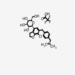 CN(C)Cc1ccc(Cc2cc([C@@H]3O[C@H](CO)[C@@H](O)[C@H](O)[C@H]3O)c3c(c2Cl)OCC3)cc1.O=C(O)C(F)(F)F